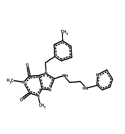 Cc1cccc(Cn2c(NCCNc3ccccn3)nc3c2c(=O)n(C)c(=O)n3C)c1